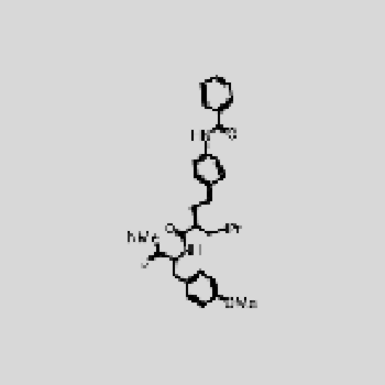 CNC(=O)C(Cc1ccc(OC)cc1)NC(=O)C([CH]Cc1ccc(NC(=O)c2ccccc2)cc1)CC(C)C